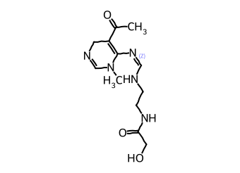 CC(=O)C1=C(/N=C\NCCNC(=O)CO)N(C)C=NC1